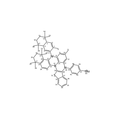 CC1=CC2C(C=C1N1c3cc(C)cc4c3B(c3ccc5c(c31)C(C)(C)CCC5(C)C)c1sc3ccccc3c1N4c1ccc(C(C)(C)C)cc1)C(C)(C)CCC2(C)C